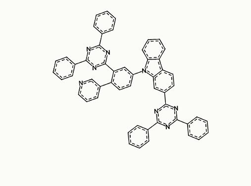 c1ccc(-c2nc(-c3ccccc3)nc(-c3ccc4c5ccccc5n(-c5ccc(-c6cccnc6)c(-c6nc(-c7ccccc7)nc(-c7ccccc7)n6)c5)c4c3)n2)cc1